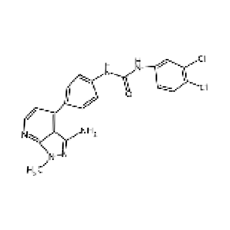 Cn1nc(N)c2c(-c3ccc(NC(=O)Nc4ccc(Cl)c(Cl)c4)cc3)ccnc21